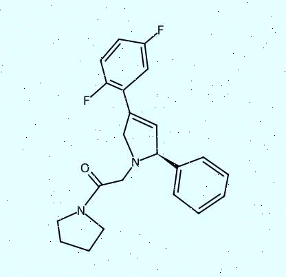 O=C(CN1CC(c2cc(F)ccc2F)=C[C@H]1c1ccccc1)N1CCCC1